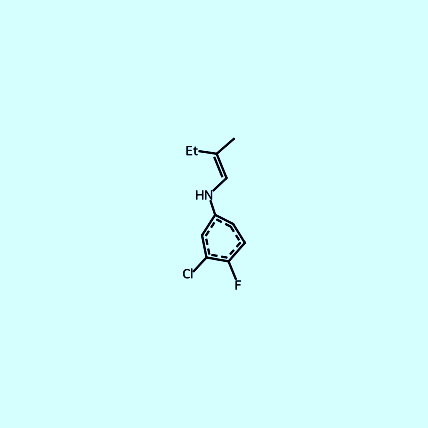 CC/C(C)=C\Nc1ccc(F)c(Cl)c1